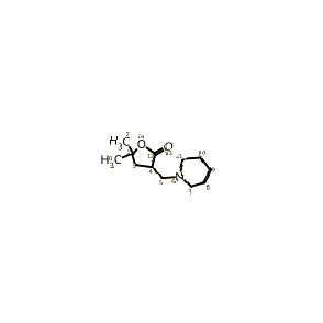 CC1(C)CC(CN2CCCCC2)C(=O)O1